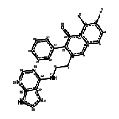 Cc1c(F)ccc2cc(CCNc3ncnc4[nH]cnc34)c(-c3ccccc3)c(=O)n12